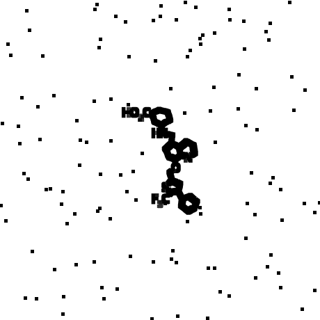 O=C(O)C1CCCC(NCc2ccc(OCc3cc(-c4ccccc4)c(C(F)(F)F)s3)c3ncccc23)C1